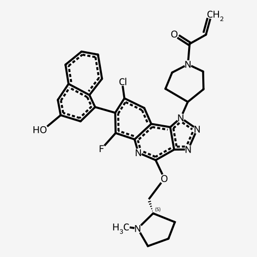 C=CC(=O)N1CCC(n2nnc3c(OC[C@@H]4CCCN4C)nc4c(F)c(-c5cc(O)cc6ccccc56)c(Cl)cc4c32)CC1